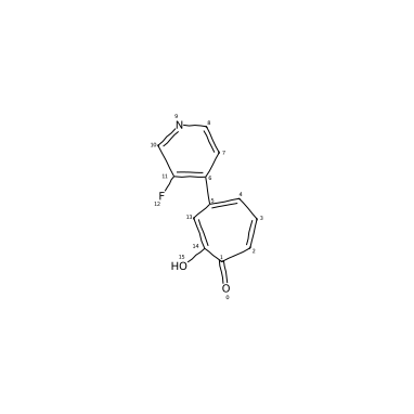 O=c1cccc(-c2ccncc2F)cc1O